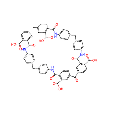 Cc1ccc(C(=O)Nc2ccc(Cc3ccc(NC(=O)c4cc(C(=O)c5ccc(C(=O)Nc6ccc(Cc7ccc(NC(=O)c8ccccc8C(=O)O)cc7)cc6)c(C(=O)O)c5)ccc4C(=O)O)cc3)cc2)c(C(=O)O)c1